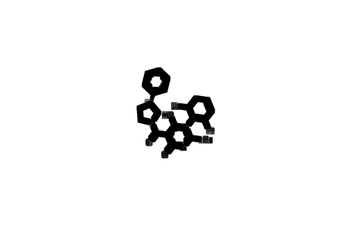 CCCCc1nc(=O)c(C(=O)N2CC[C@H](c3ccccc3)C2)c(O)n1C1=C(CC)C=CCC1CC